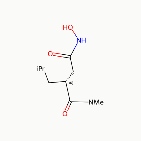 CNC(=O)[C@@H](CC(=O)NO)CC(C)C